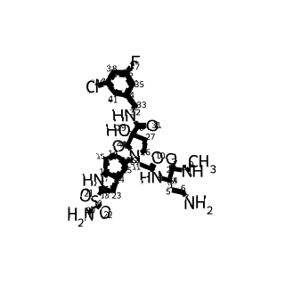 CNC(=O)[C@H](CCN)NC(=O)C[N@+]1(c2ccc3[nH]c(S(N)(=O)=O)cc3c2)CCC(O)(C(=O)NCc2cc(F)cc(Cl)c2)C1=O